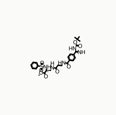 COC(=O)[C@H](CNC(=O)CCNC(=O)c1ccc(C(=N)NC(=O)OC(C)(C)C)cc1)NS(=O)(=O)c1ccccc1